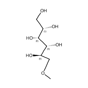 COC[C@@H](O)[C@@H](O)[C@H](O)[C@@H](O)CO